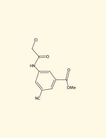 COC(=O)c1cc(C#N)cc(NC(=O)CCl)c1